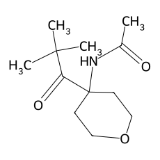 CC(=O)NC1(C(=O)C(C)(C)C)CCOCC1